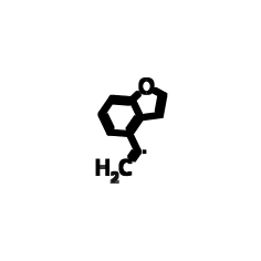 C=[C]c1cccc2occc12